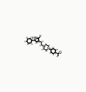 CC(=O)c1ccc(N2CCN(CCc3cc(-c4ccccc4)[nH]c3C)CC2)cc1